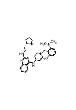 COc1cccc(N(C)C)c1CN1CCC(Nc2nc(NCC[C@@H]3CCCN3)nc3ccccc23)CC1